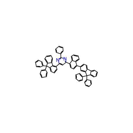 c1ccc(-c2nc(-c3cccc4c3-c3ccccc3C4(c3ccccc3)c3ccccc3)cc(-c3ccc(-c4ccc5c(c4)C(c4ccccc4)(c4ccccc4)c4ccccc4-5)c4ccccc34)n2)cc1